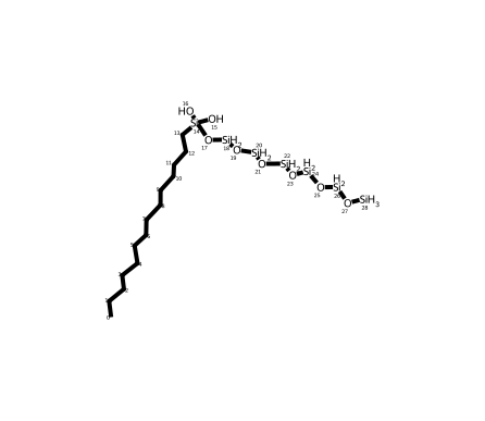 CCCCCCCCCCCCCC[Si](O)(O)O[SiH2]O[SiH2]O[SiH2]O[SiH2]O[SiH2]O[SiH3]